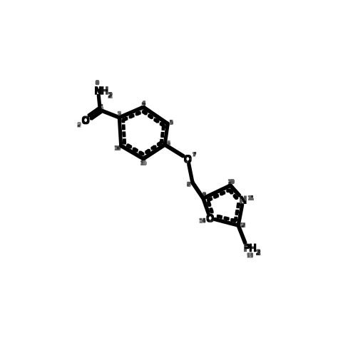 NC(=O)c1ccc(OCc2cnc(P)o2)cc1